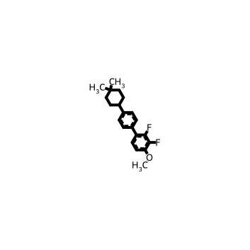 COc1ccc(-c2ccc(C3CCC(C)(C)CC3)cc2)c(F)c1F